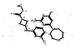 Cc1cc(N2CCCOC[C@@H]2c2ccc(NC3CN(C(=O)OC(C)(C)C)C3)cc2Cl)nc(N)n1